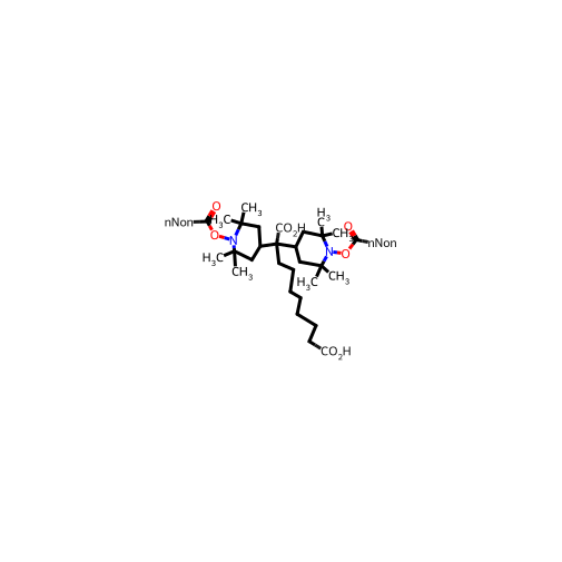 CCCCCCCCCC(=O)ON1C(C)(C)CC(C(CCCCCCCC(=O)O)(C(=O)O)C2CC(C)(C)N(OC(=O)CCCCCCCCC)C(C)(C)C2)CC1(C)C